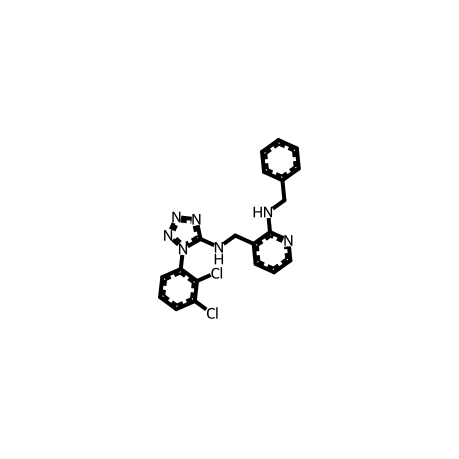 Clc1cccc(-n2nnnc2NCc2cccnc2NCc2ccccc2)c1Cl